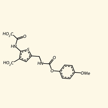 COc1ccc(OC(=O)NCc2cc(C(=O)O)c(NC(=O)C(=O)O)s2)cc1